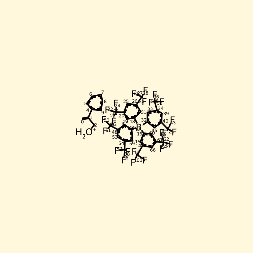 C=C(C[OH2+])c1ccccc1.FC(F)(F)c1cc([B-](c2cc(C(F)(F)F)cc(C(F)(F)F)c2)(c2cc(C(F)(F)F)cc(C(F)(F)F)c2)c2cc(C(F)(F)F)cc(C(F)(F)F)c2)cc(C(F)(F)F)c1